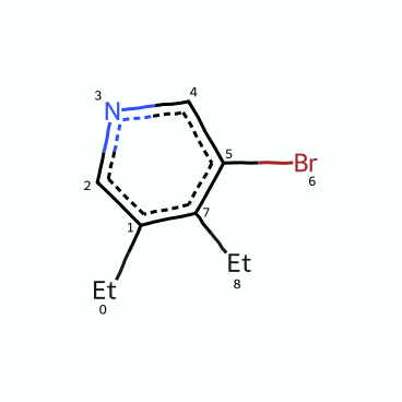 CCc1cncc(Br)c1CC